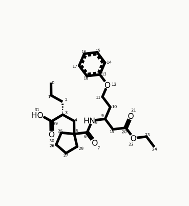 CCC[C@H](CC1(C(=O)NC(CCOc2ccccc2)CC(=O)OCC)CCCC1)C(=O)O